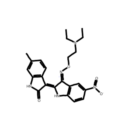 CCN(CC)CCO/N=C1/C(=C2/C(=O)Nc3cc(C)ccc32)Nc2ccc([N+](=O)[O-])cc21